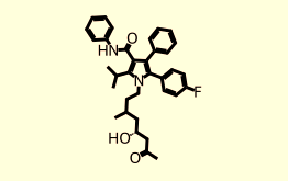 CC(=O)C[C@H](O)CC(C)CCn1c(-c2ccc(F)cc2)c(-c2ccccc2)c(C(=O)Nc2ccccc2)c1C(C)C